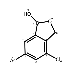 CC(=O)c1cc(Cl)c2c(c1)B(O)OC2